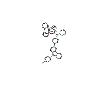 CCCC1=C(C)c2c3cccc2-c2cccc1c2-c1cc(N(c2ccc(-c4ccc5c(c4)c4ccccc4n5-c4ccc(F)cc4)cc2)C2C=CC=CC2)ccc1-3